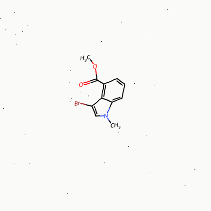 COC(=O)c1cccc2c1c(Br)cn2C